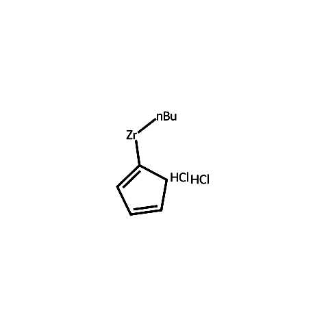 CCC[CH2][Zr][C]1=CC=CC1.Cl.Cl